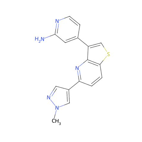 Cn1cc(-c2ccc3scc(-c4ccnc(N)c4)c3n2)cn1